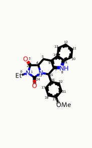 CCN1C(=O)C2Cc3c([nH]c4ccccc34)C(c3ccc(OC)cc3)N2C1=O